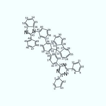 c1ccc(-c2nc(-c3ccccc3)nc(-c3ccc4c(c3)C3(c5ccccc5-c5ccccc53)c3cc(-c5cccc(-n6c(-c7ccccc7)nc7ccccc76)c5)ccc3-4)n2)cc1